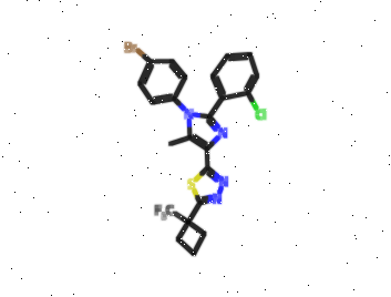 Cc1c(-c2nnc(C3(C(F)(F)F)CCC3)s2)nc(-c2ccccc2Cl)n1-c1ccc(Br)cc1